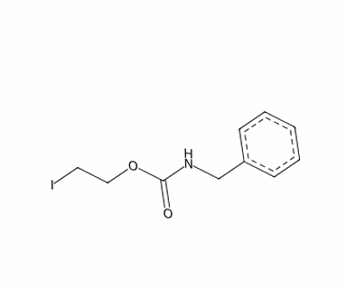 O=C(NCc1ccccc1)OCCI